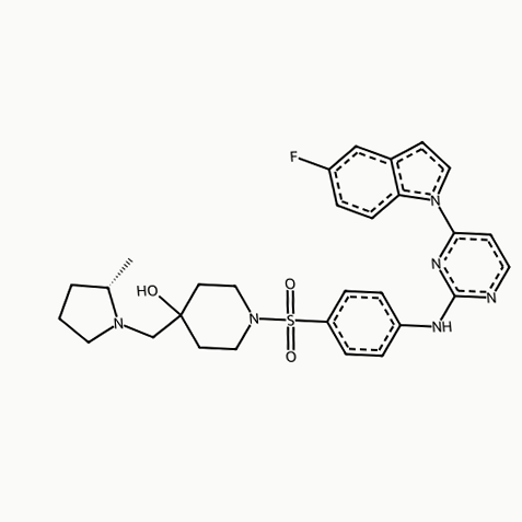 C[C@H]1CCCN1CC1(O)CCN(S(=O)(=O)c2ccc(Nc3nccc(-n4ccc5cc(F)ccc54)n3)cc2)CC1